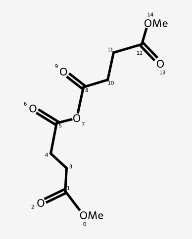 COC(=O)CCC(=O)OC(=O)CCC(=O)OC